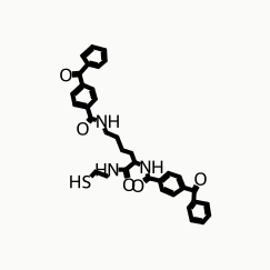 O=C(NCCCCC(NC(=O)c1ccc(C(=O)c2ccccc2)cc1)C(=O)NCCS)c1ccc(C(=O)c2ccccc2)cc1